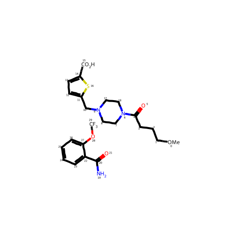 COCCCC(=O)N1CCN(Cc2ccc(C(=O)O)s2)CC1.NC(=O)c1ccccc1OC(F)(F)F